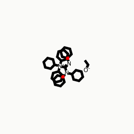 C1CCC(N=C(N(C2CCCCC2)C2CCCCC2)[N+](C2CCCCC2)(C2CCCCC2)C2CCCCC2)CC1.CC[O-]